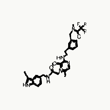 Cc1c[nH]c2ccc(CNC(=O)Cn3c(C)cnc(NCCc4cccc(CN(C)C(=O)C(F)(F)F)c4)c3=O)cc12